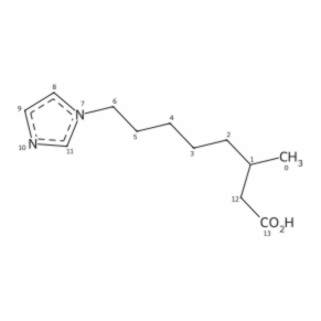 CC(CCCCCn1ccnc1)CC(=O)O